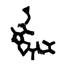 C=C(C)C(=C)NC(=S)N(C)C1CCc2sc(C)c(C(=O)NCC3CC3)c2C1